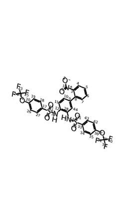 O=[N+]([O-])c1ccccc1-c1ccc(NS(=O)(=O)c2ccc(OC(F)(F)F)cc2)c(NS(=O)(=O)c2ccc(OC(F)(F)F)cc2)c1